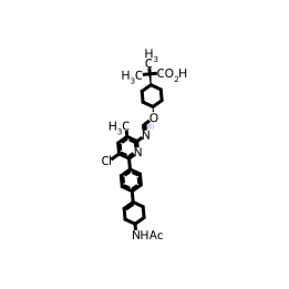 CC(=O)NC1CC=C(c2ccc(-c3nc(/N=C/O[C@H]4CC[C@H](C(C)(C)C(=O)O)CC4)c(C)cc3Cl)cc2)CC1